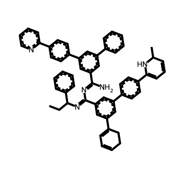 CCC(/N=C(\N=C(/N)c1cc(-c2ccccc2)cc(-c2ccc(-c3ccccn3)cc2)c1)c1cc(C2=CC=CCC2)cc(-c2ccc(C3=CC=CC(C)N3)cc2)c1)c1ccccc1